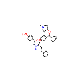 CC(CCc1ccccc1)NC(C)C(O)c1ccc(O)cc1.CN1CCC(OC(c2ccccc2)c2ccccc2)CC1